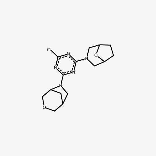 Clc1nc(N2CC3CCC(C2)O3)nc(N2CC3COCC2C3)n1